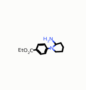 CCOC(=O)c1ccc(N2CCCCC2N)cc1